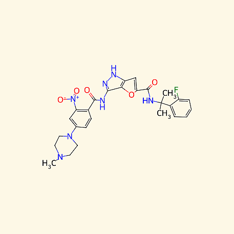 CN1CCN(c2ccc(C(=O)Nc3n[nH]c4cc(C(=O)NC(C)(C)c5ccccc5F)oc34)c([N+](=O)[O-])c2)CC1